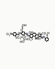 O=C(O)c1nn(-c2ccc3c(O)c(/N=N/c4cc(OCCO)c(/N=N/c5ccc([N+](=O)[O-])cc5S(=O)(=O)O)cc4OCCO)c(S(=O)(=O)O)cc3c2S(=O)(=O)O)c(O)c1/N=N/c1ccccc1F